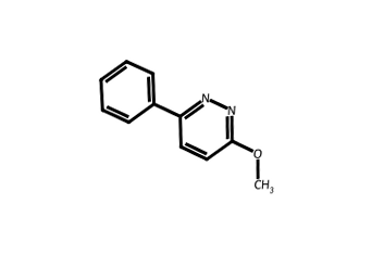 COc1ccc(-c2ccccc2)nn1